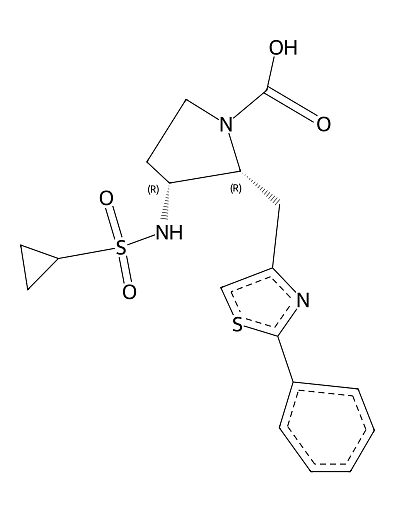 O=C(O)N1CC[C@@H](NS(=O)(=O)C2CC2)[C@H]1Cc1csc(-c2ccccc2)n1